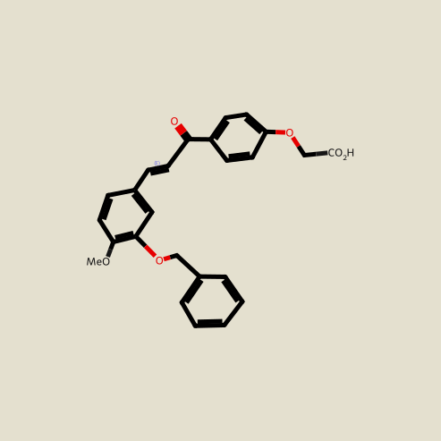 COc1ccc(/C=C/C(=O)c2ccc(OCC(=O)O)cc2)cc1OCc1ccccc1